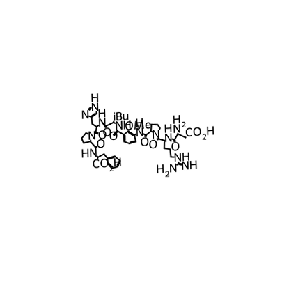 CCC(C)C(NC(=O)c1cccc(NC(=O)C2CCCN2C(=O)C(CCCNC(=N)N)NC(=O)C(N)CC(=O)O)c1OC)C(=O)NC(Cc1c[nH]cn1)C(=O)N1CCCC1C(=O)NC(Cc1ccccc1)C(=O)O